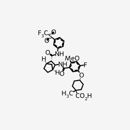 COc1cc(F)c(O[C@H]2CC[C@](C)(C(=O)O)CC2)cc1C(=O)NC1[C@H]2CC[C@H](C2)[C@@H]1C(=O)Nc1cccc(S(=O)(=O)C(F)(F)F)c1